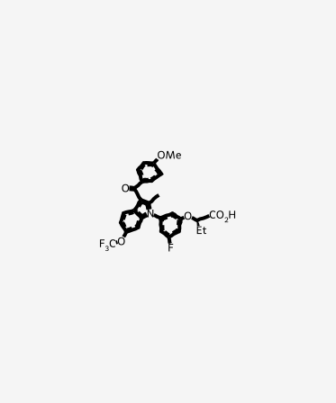 CC[C@@H](Oc1cc(F)cc(-n2c(C)c(C(=O)c3ccc(OC)cc3)c3ccc(OC(F)(F)F)cc32)c1)C(=O)O